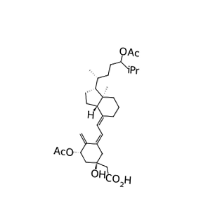 C=C1/C(=C\C=C2/CCC[C@]3(C)[C@@H]([C@H](C)CCC(OC(C)=O)C(C)C)CC[C@@H]23)C[C@](O)(CC(=O)O)C[C@@H]1OC(C)=O